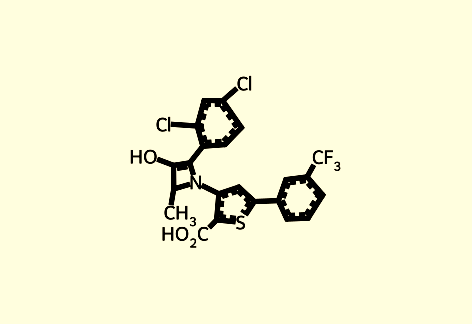 CC1C(O)=C(c2ccc(Cl)cc2Cl)N1c1cc(-c2cccc(C(F)(F)F)c2)sc1C(=O)O